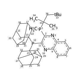 CP(c1nc2ccccc2nc1P(C12CC3CC(CC(C3)C1)C2)C12CC3CC(CC(C3)C1)C2)C(C)(C)CC(C)(C)C